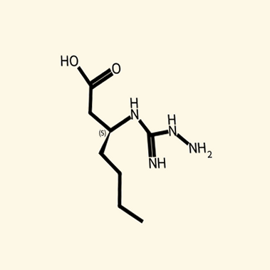 CCCC[C@@H](CC(=O)O)NC(=N)NN